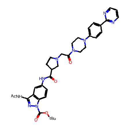 CC(=O)Nc1nn(C(=O)OC(C)(C)C)c2ccc(NC(=O)C3CCN(CC(=O)N4CCN(c5ccc(-c6ncccn6)cc5)CC4)C3)cc12